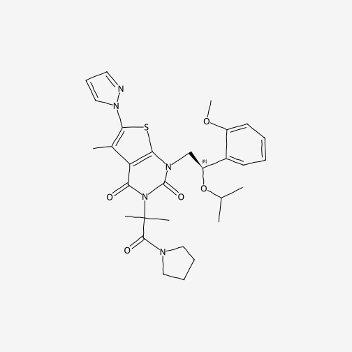 COc1ccccc1[C@H](Cn1c(=O)n(C(C)(C)C(=O)N2CCCC2)c(=O)c2c(C)c(-n3cccn3)sc21)OC(C)C